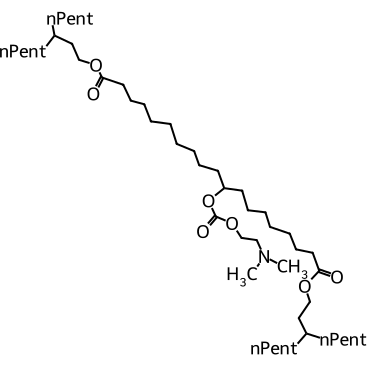 CCCCCC(CCCCC)CCOC(=O)CCCCCCCCCC(CCCCCCCC(=O)OCCC(CCCCC)CCCCC)OC(=O)OCCN(C)C